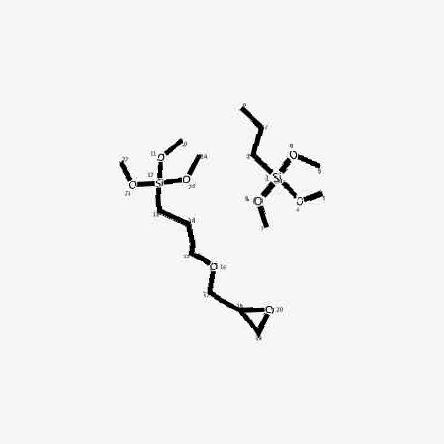 CCC[Si](OC)(OC)OC.CO[Si](CCCOCC1CO1)(OC)OC